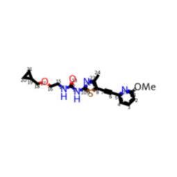 COc1cccc(C#Cc2sc(NC(=O)NCCOCC3CC3)nc2C)n1